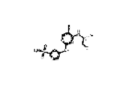 CC(C)[C@H](CO)Nc1nc(Nc2csc(S(N)(=O)=O)c2)ncc1Br